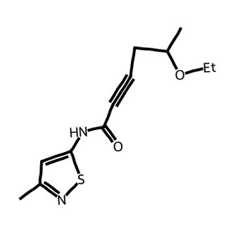 CCOC(C)CC#CC(=O)Nc1cc(C)ns1